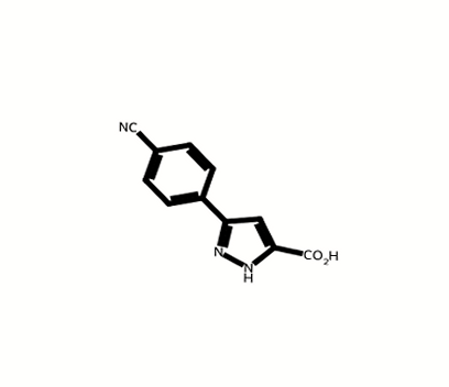 N#Cc1ccc(-c2cc(C(=O)O)[nH]n2)cc1